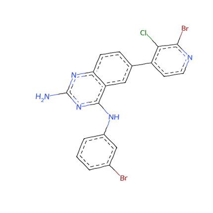 Nc1nc(Nc2cccc(Br)c2)c2cc(-c3ccnc(Br)c3Cl)ccc2n1